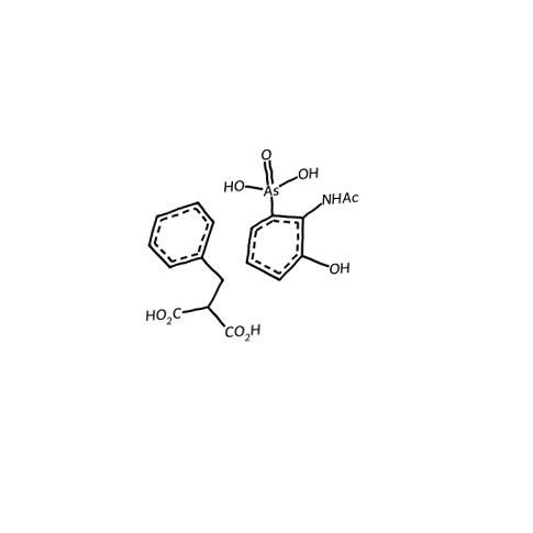 CC(=O)Nc1c(O)cccc1[As](=O)(O)O.O=C(O)C(Cc1ccccc1)C(=O)O